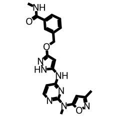 CNC(=O)c1cccc(COc2cc(Nc3ccnc(N(C)c4cc(C)no4)n3)[nH]n2)c1